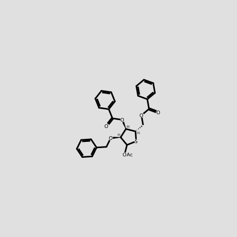 CC(=O)OC1S[C@@H](COC(=O)c2ccccc2)[C@H](OC(=O)c2ccccc2)[C@@H]1OCc1ccccc1